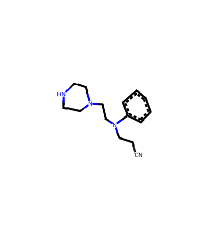 N#CCCN(CCN1CCNCC1)c1ccccc1